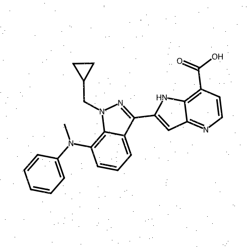 CN(c1ccccc1)c1cccc2c(-c3cc4nccc(C(=O)O)c4[nH]3)nn(CC3CC3)c12